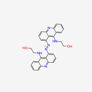 OCCNc1c2ccccc2nc2cccc(/N=N/c3cccc4nc5ccccc5c(NCCO)c34)c12